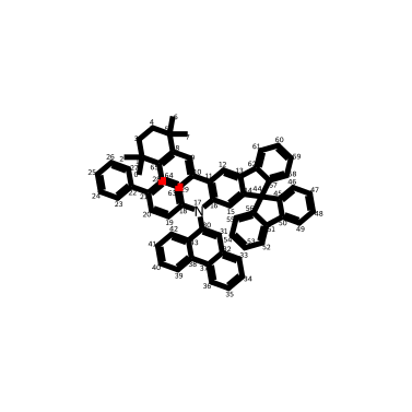 CC1(C)CCC(C)(C)c2cc(-c3cc4c(cc3N(c3ccc(-c5ccccc5)cc3)c3cc5ccccc5c5ccccc35)C3(c5ccccc5-c5ccccc53)c3ccccc3-4)ccc21